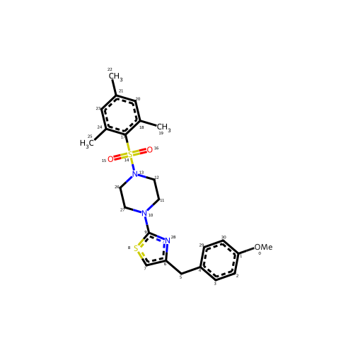 COc1ccc(Cc2csc(N3CCN(S(=O)(=O)c4c(C)cc(C)cc4C)CC3)n2)cc1